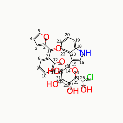 O=C(c1ccco1)c1ccccc1O[C@]1(c2c[nH]c3ccccc23)O[C@H](C(O)Cl)[C@H](O)[C@H](O)[C@H]1O